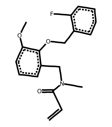 C=CC(=O)N(C)Cc1cccc(OC)c1OCc1ccccc1F